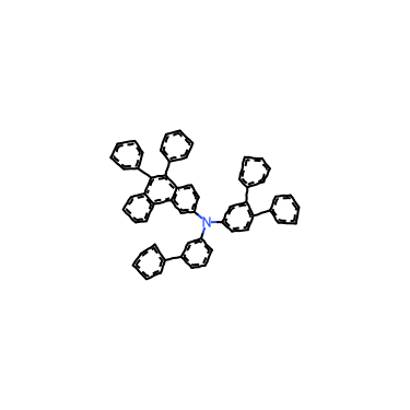 c1ccc(-c2cccc(N(c3ccc(-c4ccccc4)c(-c4ccccc4)c3)c3ccc4c(-c5ccccc5)c(-c5ccccc5)c5ccccc5c4c3)c2)cc1